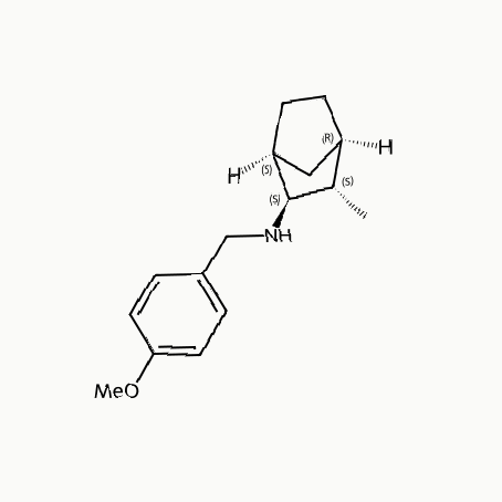 COc1ccc(CN[C@H]2[C@H]3CC[C@H](C3)[C@@H]2C)cc1